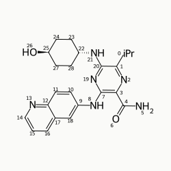 CC(C)c1nc(C(N)=O)c(Nc2ccc3ncccc3c2)nc1N[C@H]1CC[C@H](O)CC1